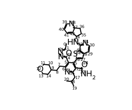 Cc1nnc(-c2c(CCC3CCOCC3)nc(CC(C)C)c(C(N)=O)c2-c2cc3ccnc(N[C@@H]4CCc5ncccc54)c3s2)o1